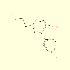 CCCCc1ccc(O)c(-c2ccc(C)cc2)c1